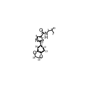 CC(C)CNC(=O)c1cnc(-c2ccc3c(c2)OCCO3)s1